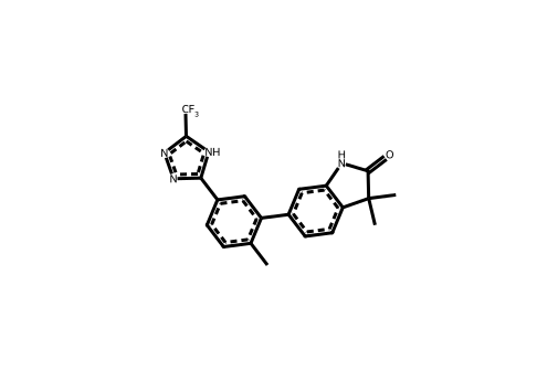 Cc1ccc(-c2nnc(C(F)(F)F)[nH]2)cc1-c1ccc2c(c1)NC(=O)C2(C)C